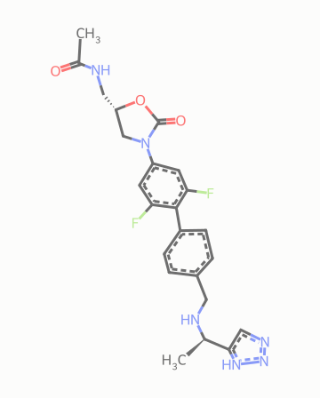 CC(=O)NC[C@H]1CN(c2cc(F)c(-c3ccc(CN[C@H](C)c4cnn[nH]4)cc3)c(F)c2)C(=O)O1